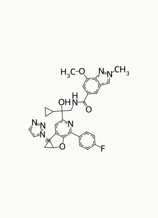 COc1cc(C(=O)NCC(O)(c2cc3c(c(-c4ccc(F)cc4)n2)OC2C[C@@]32n2ccnn2)C2CC2)cc2cn(C)nc12